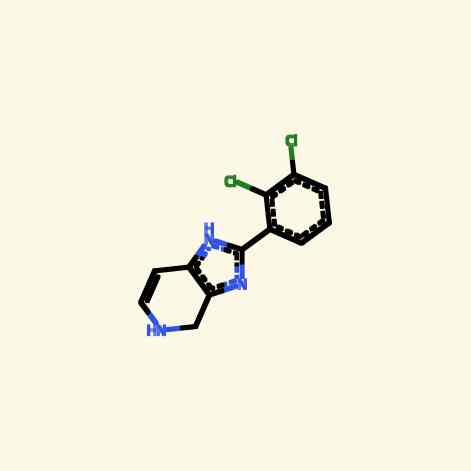 Clc1cccc(-c2nc3c([nH]2)C=CNC3)c1Cl